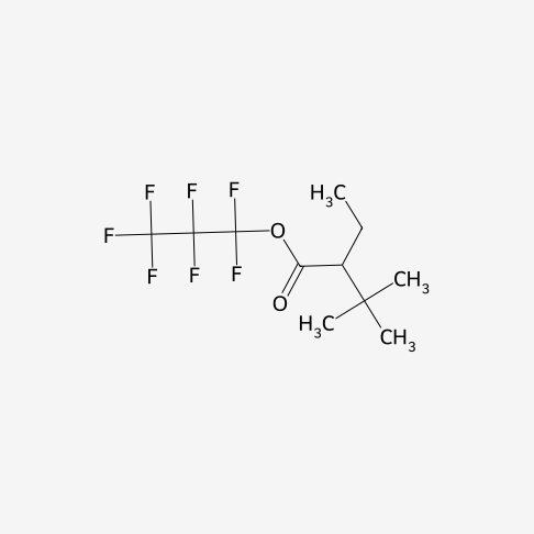 CCC(C(=O)OC(F)(F)C(F)(F)C(F)(F)F)C(C)(C)C